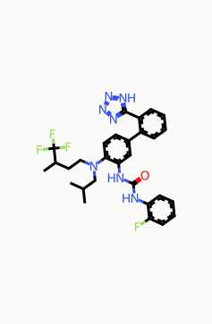 CC(C)CN(CCC(C)C(F)(F)F)c1ccc(-c2ccccc2-c2nnn[nH]2)cc1NC(=O)Nc1ccccc1F